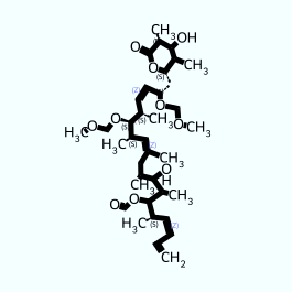 C=C/C=C\[C@H](C)C(OC=O)C(C)C(O)C(C)C/C(C)=C\[C@H](C)[C@@H](OCOC)[C@@H](C)/C=C\[C@H](C[C@@H]1OC(=O)[C@H](C)C(O)C1C)OCOC